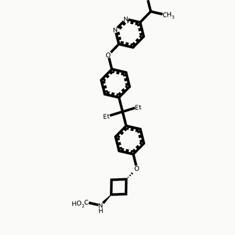 CCC(CC)(c1ccc(Oc2ccc(C(C)O)nn2)cc1)c1ccc(O[C@H]2C[C@H](NC(=O)O)C2)cc1